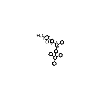 Cc1ccc(-c2ccc(-c3cc(-c4ccc(-c5c(-c6ccccc6)cc(-c6ccccc6)cc5-c5ccccc5)cc4)nc(-c4ccccc4)n3)cc2)c(C)n1